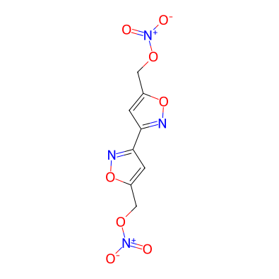 O=[N+]([O-])OCc1cc(-c2cc(CO[N+](=O)[O-])on2)no1